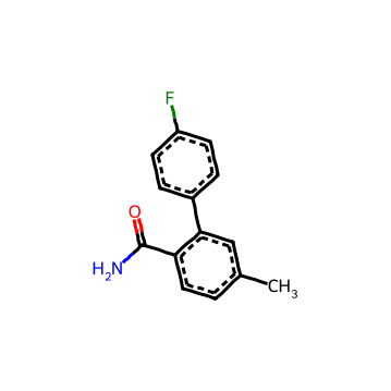 Cc1ccc(C(N)=O)c(-c2ccc(F)cc2)c1